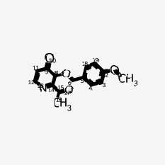 COc1ccc(COC2C(=O)C=CN=C2C(C)=O)cc1